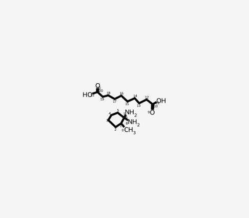 CC1CCCCC1(N)N.O=C(O)CCCCCCCCC(=O)O